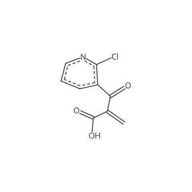 C=C(C(=O)O)C(=O)c1cccnc1Cl